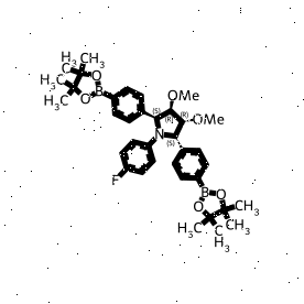 CO[C@H]1[C@H](OC)[C@H](c2ccc(B3OC(C)(C)C(C)(C)O3)cc2)N(c2ccc(F)cc2)[C@H]1c1ccc(B2OC(C)(C)C(C)(C)O2)cc1